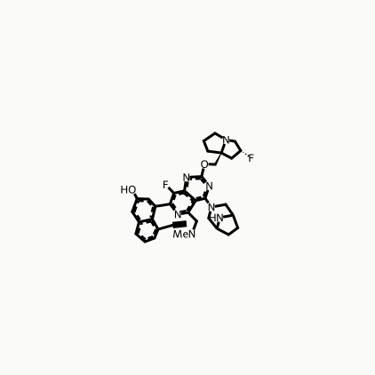 C#Cc1cccc2cc(O)cc(-c3nc(CNC)c4c(N5CC6CCC(C5)N6)nc(OC[C@@]56CCCN5C[C@H](F)C6)nc4c3F)c12